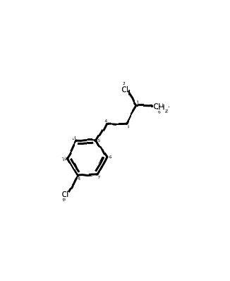 [CH2]C(Cl)CCc1ccc(Cl)cc1